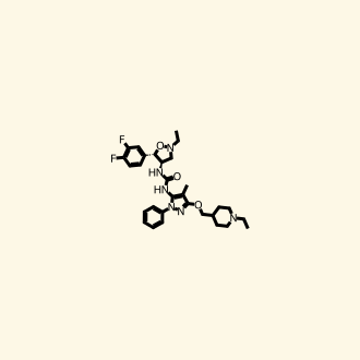 CCN1CCC(COc2nn(-c3ccccc3)c(NC(=O)N[C@@H]3CN(CC)O[C@H]3c3ccc(F)c(F)c3)c2C)CC1